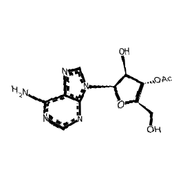 CC(=O)O[C@H]1[C@H](O)[C@H](n2cnc3c(N)ncnc32)O[C@@H]1CO